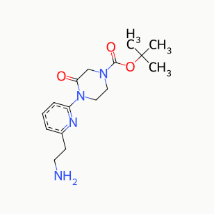 CC(C)(C)OC(=O)N1CCN(c2cccc(CCN)n2)C(=O)C1